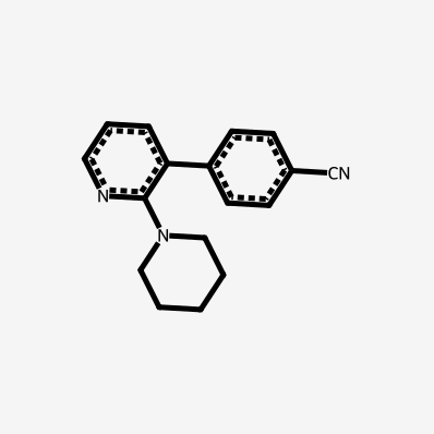 N#Cc1ccc(-c2cccnc2N2CCCCC2)cc1